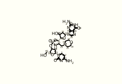 Nc1ccn([C@H]2CC(OP(=O)(NCCN3CCOCC3)OC[C@H]3O[C@@H](n4cnc5c(=O)[nH]c(N)nc54)CC3O)[C@@H](CO)O2)c(=O)n1